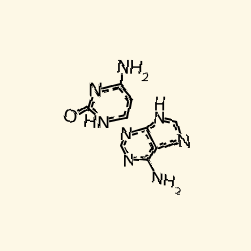 Nc1cc[nH]c(=O)n1.Nc1ncnc2[nH]cnc12